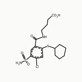 NS(=O)(=O)c1cc(C(=O)NCCCC(=O)O)c(SC2CCCCC2)cc1Cl